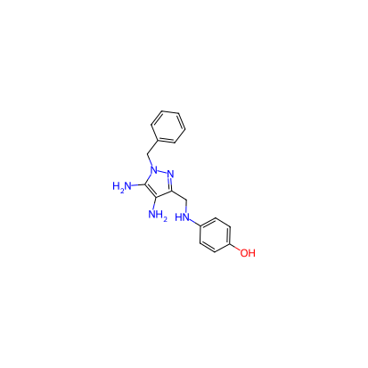 Nc1c(CNc2ccc(O)cc2)nn(Cc2ccccc2)c1N